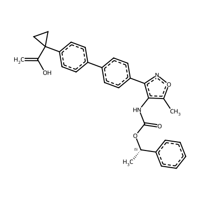 C=C(O)C1(c2ccc(-c3ccc(-c4noc(C)c4NC(=O)O[C@@H](C)c4ccccc4)cc3)cc2)CC1